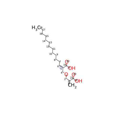 C=C(COC/C(=C/CCCCCCCCCCCC)C(=O)O)C(=O)O